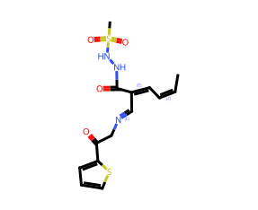 C\C=C/C=C(\C=N\CC(=O)c1cccs1)C(=O)NNS(C)(=O)=O